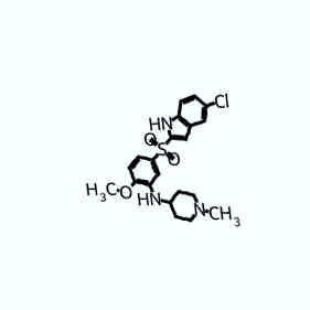 COc1ccc(S(=O)(=O)c2cc3cc(Cl)ccc3[nH]2)cc1NC1CCN(C)CC1